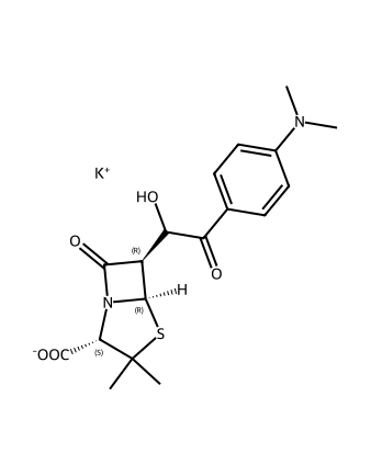 CN(C)c1ccc(C(=O)C(O)[C@@H]2C(=O)N3[C@@H]2SC(C)(C)[C@@H]3C(=O)[O-])cc1.[K+]